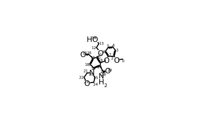 COc1ccccc1Oc1c(OCCO)c(C=O)[c]c(N2CCOCC2)c1C(N)=O